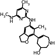 CNc1cc(C)nc(Nc2cc3c(c(C4=CCNCC(O)C4)c2C)OCC3)n1